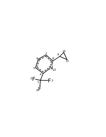 FC(F)(F)c1c[c]cc(C2CC2)n1